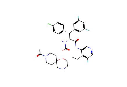 CC(=O)N1CCC2(CC1)CNC[C@@H](CCc1c(F)cncc1NC(=O)[C@H]([C@@H](c1ccc(Cl)cc1)c1cc(F)cc(F)c1)N(C)C(=O)O)O2